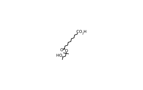 CC(O)CC(C)(C)OC(=O)CCCCCCCCC(=O)O